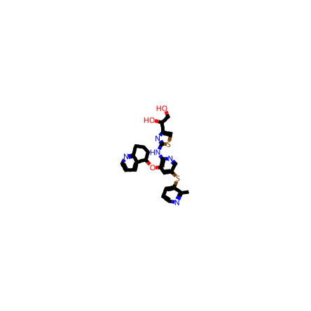 Cc1ncccc1Sc1cnc(Nc2nc(C(O)CO)cs2)c(OC2CCCc3ncccc32)c1